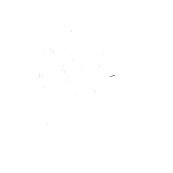 CC(C)=CCO[C@H](C)C(=O)NC1(C(F)(F)F)C(=O)Nc2nc3cc(C)c(C)cc3n21